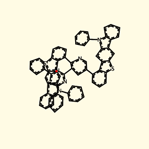 c1ccc(-c2nc(-c3ccccc3)nc(-c3cc(-c4cccc5sc6cc7c8ccccc8n(-c8ccccc8)c7cc6c45)cnc3-c3cccc4sc5cc6c7ccccc7n(-c7ccccc7)c6cc5c34)n2)cc1